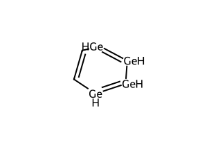 [CH]1=[CH][GeH]=[GeH][GeH]=[GeH]1